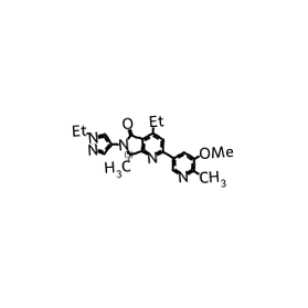 CCc1cc(-c2cnc(C)c(OC)c2)nc2c1C(=O)N(c1cnn(CC)c1)[C@H]2C